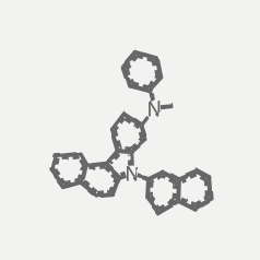 CN(c1ccccc1)c1ccc2c3c4ccccc4ccc3n(-c3ccc4ccccc4c3)c2c1